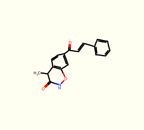 CC1C(=O)NOc2cc(C(=O)C=Cc3ccccc3)ccc21